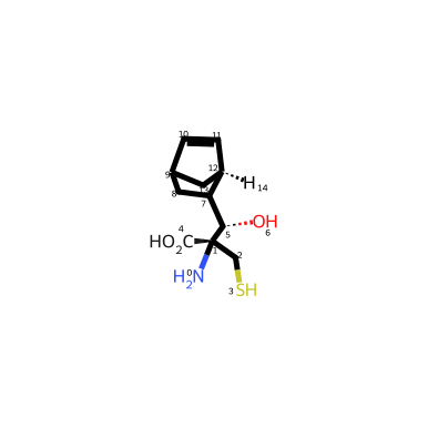 N[C@](CS)(C(=O)O)[C@@H](O)C1CC2C=C[C@@H]1C2